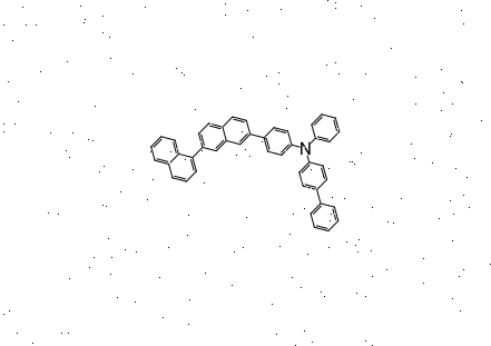 c1ccc(-c2ccc(N(c3ccccc3)c3ccc(-c4ccc5ccc(-c6cccc7ccccc67)cc5c4)cc3)cc2)cc1